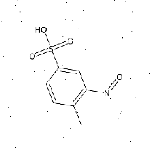 Cc1ccc(S(=O)(=O)O)cc1N=O